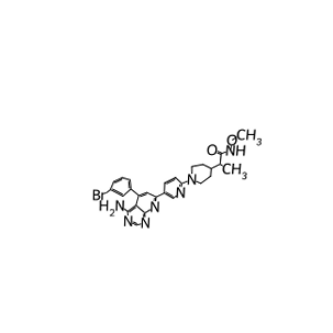 CONC(=O)C(C)C1CCN(c2ccc(-c3cc(-c4cccc(Br)c4)c4c(N)ncnc4n3)cn2)CC1